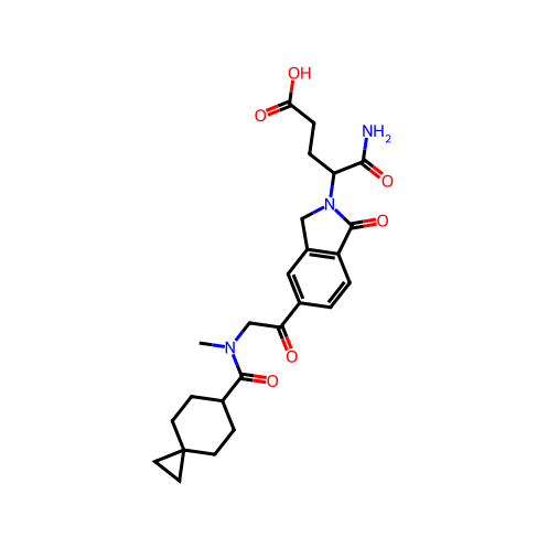 CN(CC(=O)c1ccc2c(c1)CN(C(CCC(=O)O)C(N)=O)C2=O)C(=O)C1CCC2(CC1)CC2